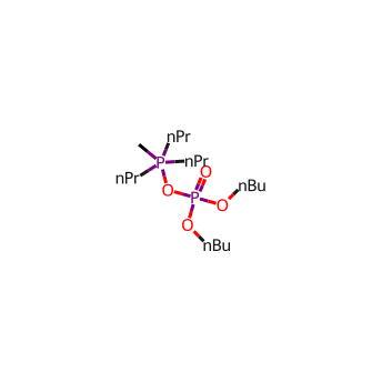 CCCCOP(=O)(OCCCC)OP(C)(CCC)(CCC)CCC